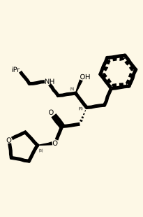 CC(C)CNC[C@@H](O)[C@@H](CC(=O)O[C@H]1CCOC1)Cc1ccccc1